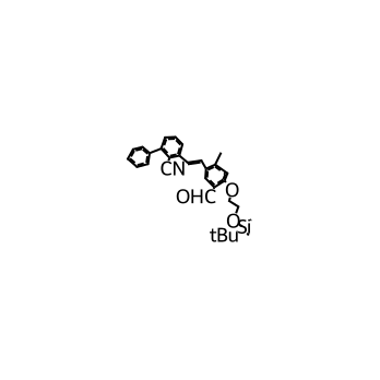 Cc1cc(OCCO[Si](C)(C)C(C)(C)C)c(C=O)cc1/C=C/c1cccc(-c2ccccc2)c1C#N